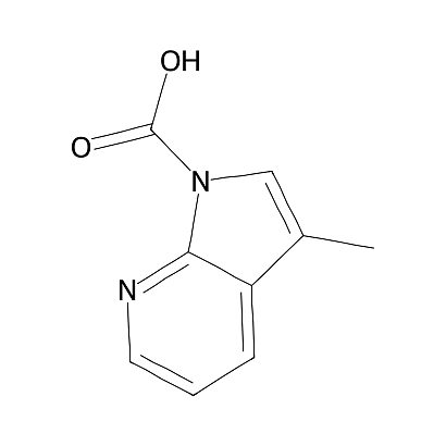 Cc1cn(C(=O)O)c2ncccc12